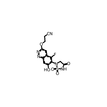 N#CCCOc1cc2c(F)c(N3CC(=O)NS3(=O)=O)c(O)cc2nn1